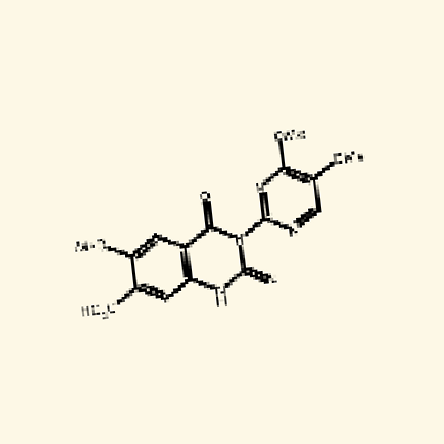 COc1cc2c(=O)n(-c3ncc(OC)c(OC)n3)c(=S)[nH]c2cc1C(=O)O